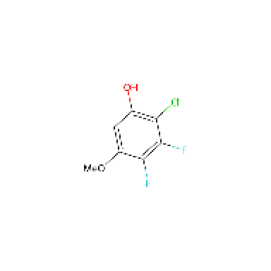 COc1cc(O)c(Cl)c(F)c1F